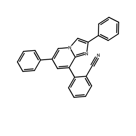 N#Cc1ccccc1-c1cc(-c2ccccc2)cn2cc(-c3ccccc3)nc12